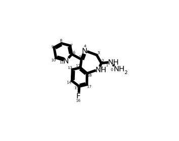 NNC1CN=C(c2ccccn2)c2ccc(F)cc2N1